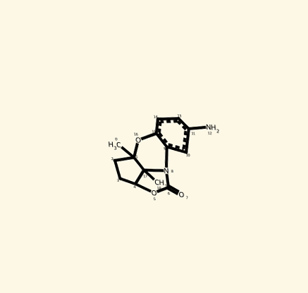 CC12CCC3OC(=O)N(c4cc(N)ccc4O1)C32C